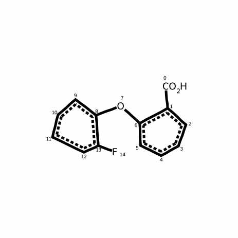 O=C(O)c1ccccc1Oc1ccccc1F